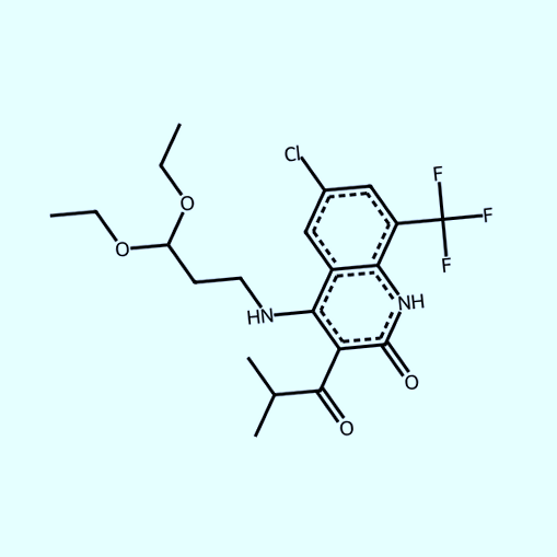 CCOC(CCNc1c(C(=O)C(C)C)c(=O)[nH]c2c(C(F)(F)F)cc(Cl)cc12)OCC